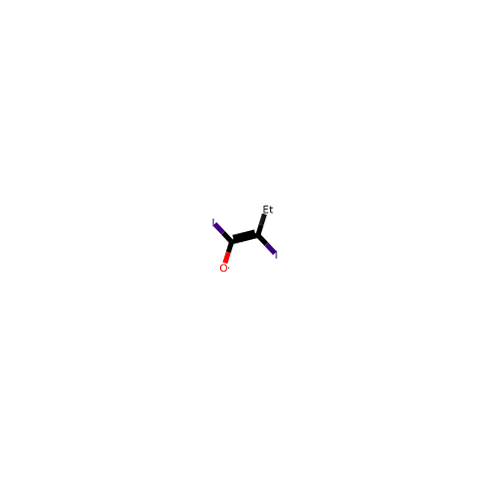 CCC(I)=C([O])I